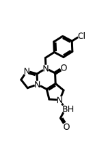 O=CBN1CC2=C(C1)N1CCN=C1N(Cc1ccc(Cl)cc1)C2=O